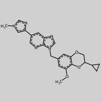 COc1cc(Cn2cnc3cc(-c4cn(C)cn4)cnc32)cc2c1OC(C1CC1)CO2